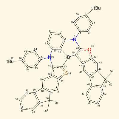 CC(C)(C)c1ccc(N2c3cccc4c3B(c3sc5cc6c(cc5c3N4c3ccc(C(C)(C)C)cc3)-c3ccccc3C6(C)C)c3c2oc2cc4c(cc32)-c2ccccc2C4(C)C)cc1